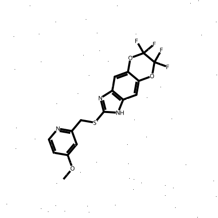 COc1ccnc(CSc2nc3cc4c(cc3[nH]2)OC(F)(F)C(F)(F)O4)c1